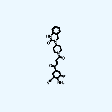 N#Cc1cc(C(=O)C=CC(=O)N2CCC(N3Cc4ccccc4NC3=O)CC2)cc(F)c1N